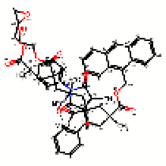 CCC(C)(CC(C)(CC(C)(CC(C)(CC(C)(CC(c1ccccc1)C1C(=O)N(c2ccccc2)C(=O)C1C)C(=O)OCc1c2ccccc2cc2ccccc12)C(=O)OC)C(=O)O)C(=O)OCCO)C(=O)OCC1CO1